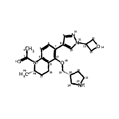 CC(=O)N1c2ccc(-c3cnn(C4COC4)c3)c(OC[C@@H]3CCNC3)c2CC[C@@H]1C